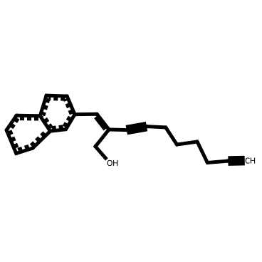 C#CCCCCC#CC(=Cc1ccc2ccccc2c1)CO